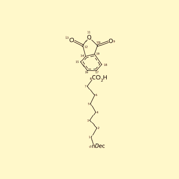 CCCCCCCCCCCCCCCCCC(=O)O.O=C1OC(=O)c2ccccc21